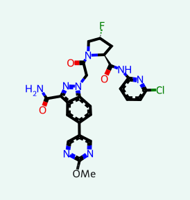 COc1ncc(-c2ccc3c(c2)c(C(N)=O)nn3CC(=O)N2C[C@H](F)C[C@H]2C(=O)Nc2cccc(Cl)n2)cn1